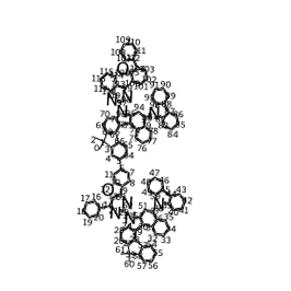 CC1(C)c2cc(-c3ccc4c(c3)oc3c(-c5ccccc5)nc(-n5c6ccc7c(c6c6c8ccccc8c(-n8c9ccccc9c9ccccc98)cc65)-c5ccccc5C7(C)C)nc34)ccc2-c2c1ccc1c2c2c3ccccc3c(-n3c4ccccc4c4ccccc43)cc2n1-c1nc(-c2cccc3c2oc2ccccc23)c2ccccc2n1